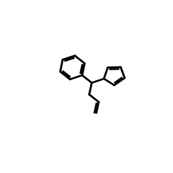 C=CCC(c1ccccc1)C1C=CC=C1